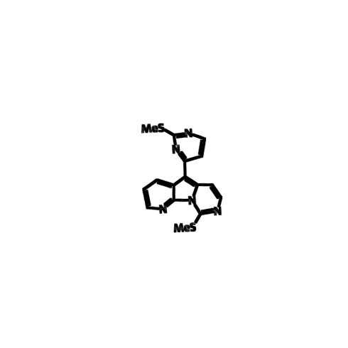 CSc1nccc(-c2c3cccnc3n3c(SC)nccc23)n1